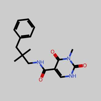 Cn1c(=O)[nH]cc(C(=O)NCC(C)(C)Cc2ccccc2)c1=O